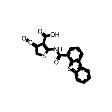 O=C=C1CSC(NC(=O)c2cccc3c2sc2ccccc23)=C1C(=O)O